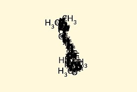 Cc1cc(C)c(/C=C2/C=CC(CCC(=O)N3CCN(C4CCN(Cc5ccc(Nc6ncc7c(n6)N(C)c6c(F)cccc6C(=O)N7C)cc5C(F)(F)F)CC4)CC3)=[N+]2B(F)F)[nH]1